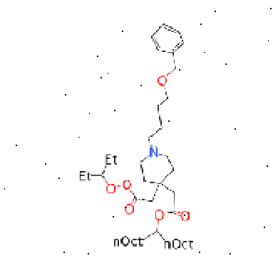 CCCCCCCCC(CCCCCCCC)OC(=O)CC1(CC(=O)OOC(CC)CC)CCN(CCCCOCc2ccccc2)CC1